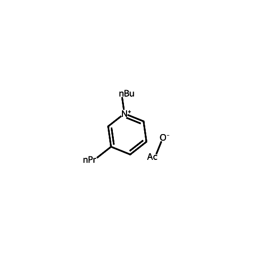 CC(=O)[O-].CCCC[n+]1cccc(CCC)c1